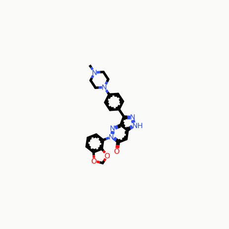 CN1CCN(c2ccc(-c3n[nH]c4cc(=O)n(-c5cccc6c5OCO6)nc34)cc2)CC1